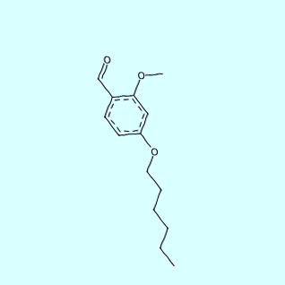 CCCCCCOc1ccc(C=O)c(OC)c1